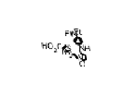 CCN(CC)c1ccc(NC[C@H]2CCC(=O)N2CCSc2nc(C(=O)O)cs2)cc1